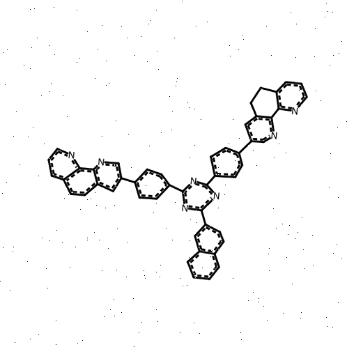 c1cnc2c(c1)CCc1cc(-c3ccc(-c4nc(-c5ccc(-c6cnc7c(ccc8cccnc87)c6)cc5)nc(-c5ccc6ccccc6c5)n4)cc3)cnc1-2